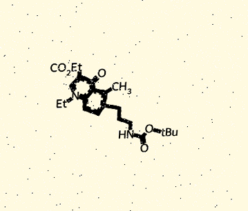 CCOC(=O)c1cn(CC)c2ccc(CCCNC(=O)OC(C)(C)C)c(C)c2c1=O